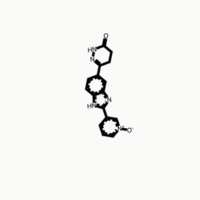 O=C1CCC(c2ccc3[nH]c(-c4ccc[n+]([O-])c4)nc3c2)=NN1